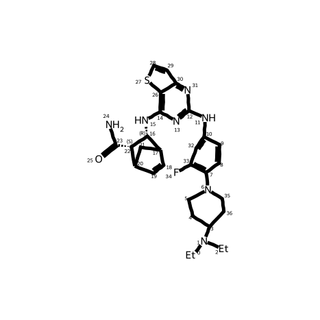 CCN(CC)C1CCN(c2ccc(Nc3nc(N[C@@H]4C5C=CC(C5)[C@@H]4C(N)=O)c4sccc4n3)cc2F)CC1